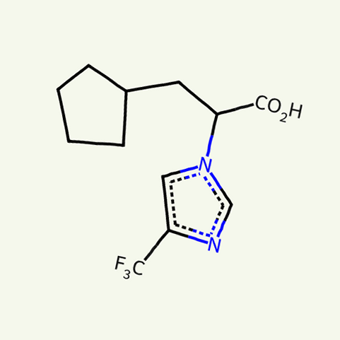 O=C(O)C(CC1CCCC1)n1cnc(C(F)(F)F)c1